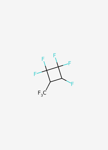 FC1C(C(F)(F)F)C(F)(F)C1(F)F